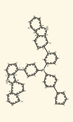 c1ccc(-c2ccc(N(c3ccc(-c4cccc5oc6c7ccccc7ccc6c45)cc3)c3cccc(-c4ccc5c(c4)oc4ccccc45)c3)cc2)cc1